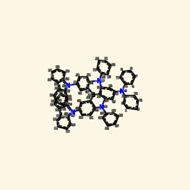 c1ccc(N(c2ccccc2)c2cc3c4c(c2)N(c2ccccc2)c2ccc(-n5c6ccccc6c6ccccc65)cc2B4c2cc(-n4c5ccccc5c5ccccc54)ccc2N3c2ccccc2)cc1